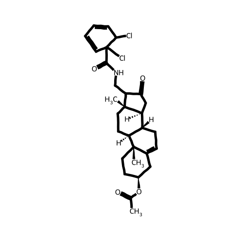 CC(=O)O[C@H]1CC[C@@]2(C)C(=CC[C@@H]3[C@@H]2CC[C@]2(C)C(CNC(=O)C4(Cl)C=CC=CC4Cl)C(=O)C[C@@H]32)C1